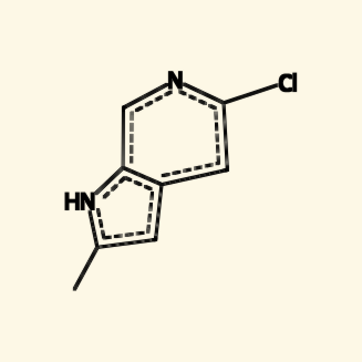 Cc1cc2cc(Cl)ncc2[nH]1